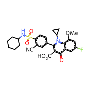 COc1cc(F)cc2c(=O)c(C(=O)O)c(-c3ccc(S(=O)(=O)NC4CCCCC4)c(C#N)c3)n(C3CC3)c12